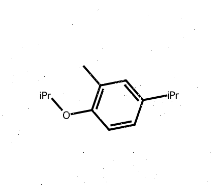 [CH2]C(C)c1ccc(OC(C)C)c(C)c1